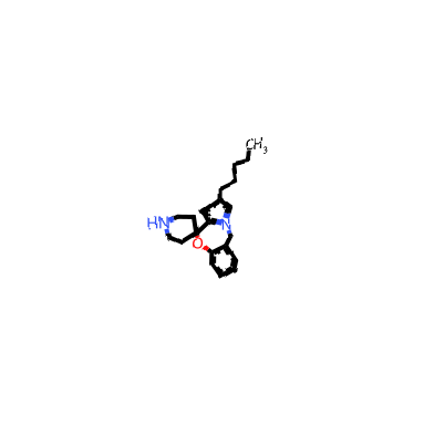 CCCCCc1cc2n(c1)Cc1ccccc1OC21CCNCC1